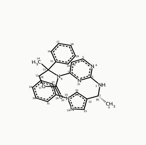 C[C@@H](Nc1nccc(N2C(=O)OCC2(C)c2ccccc2)n1)c1cnn(-c2ccccc2)c1